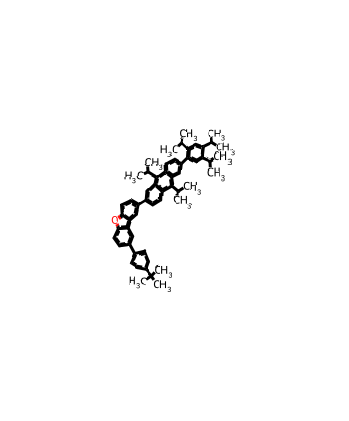 CC(C)c1cc(C(C)C)c(C(C)C)cc1-c1ccc2c(C(C)C)c3cc(-c4ccc5oc6ccc(-c7ccc(C(C)(C)C)cc7)cc6c5c4)ccc3c(C(C)C)c2c1